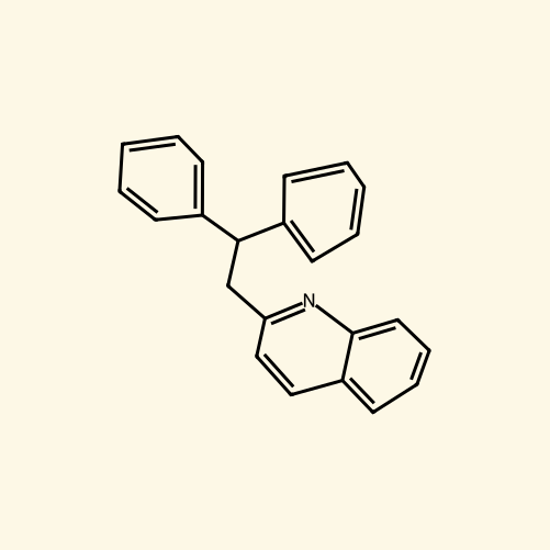 c1ccc(C(Cc2ccc3ccccc3n2)c2ccccc2)cc1